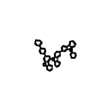 c1ccc(-c2ccc(-c3cc(-n4c5ccccc5c5cc(-c6ccc7c8ccccc8n(-c8ccccc8)c7c6)ccc54)c4c(c3)oc3ccccc34)cc2)cc1